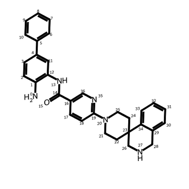 Nc1ccc(-c2ccccc2)cc1NC(=O)c1ccc(N2CCC3(CC2)CNCc2ccccc23)nc1